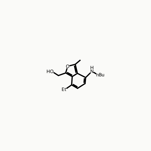 CCCCNc1ccc(CC)c2c(CO)oc(C)c12